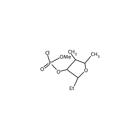 CCC1OC(C)C(C)C1OP(=O)(Cl)OC